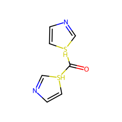 O=C([SH]1C=CN=C1)[SH]1C=CN=C1